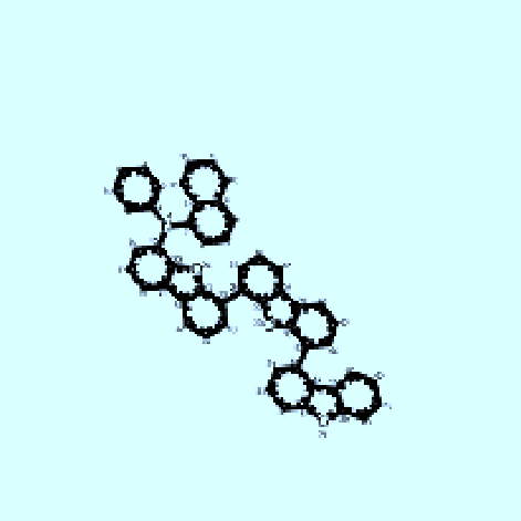 c1ccc(N(c2cccc3ccccc23)c2cccc3c2oc2c(-c4cccc5c4oc4c(-c6cccc7oc8ccccc8c67)cccc45)cccc23)cc1